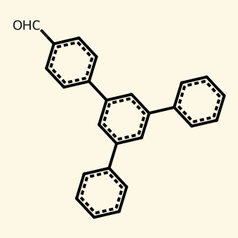 O=Cc1ccc(-c2cc(-c3ccccc3)cc(-c3ccccc3)c2)cc1